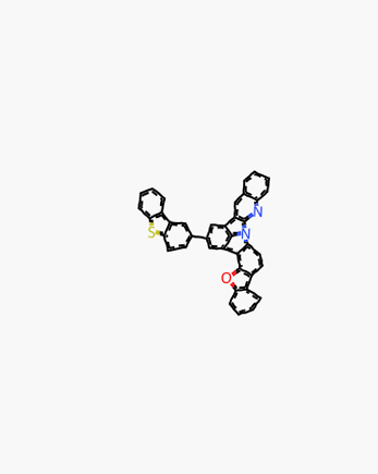 c1ccc2nc3c(cc2c1)c1cc(-c2ccc4sc5ccccc5c4c2)cc2c4c5oc6ccccc6c5ccc4n3c12